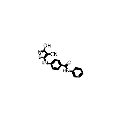 N#Cc1c(O)nsc1Nc1ccc(C(=O)Nc2ccccc2)cc1